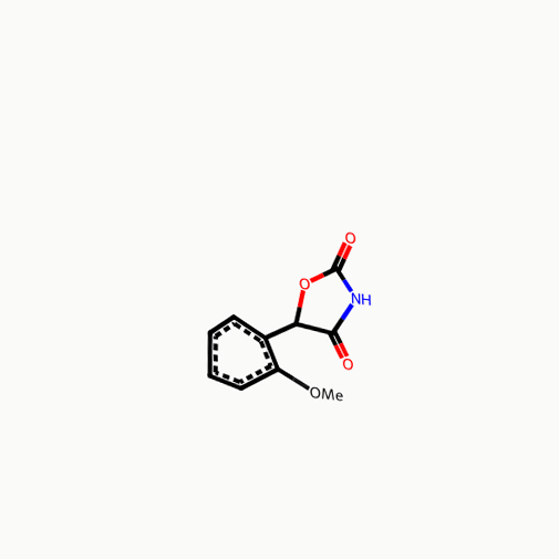 COc1ccccc1C1OC(=O)NC1=O